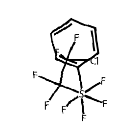 FC(F)(Cl)C(F)(F)S(F)(F)(F)(F)c1ccccc1